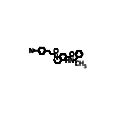 CC(NC(=O)c1ccc2c(c1)CCCN2C(=O)CCc1ccc(C#N)cc1)c1ccccc1